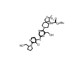 C[C@@H]1OCC2(CCN(c3ncc(Sc4ccnc(N5CCCC5CC#N)c4Cl)nc3CO)CC2)[C@@H]1NC(=O)OC(C)(C)C